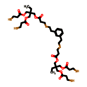 CCC(COC(=O)CCS)(COC(=O)CCS)COC(=O)CCSCCc1cccc(CCSCCC(=O)OCC(CC)(COC(=O)CCS)COC(=O)CCS)c1